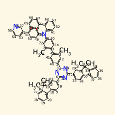 Cc1cc(-c2nc(-c3ccc4c(c3)C(C)(C)c3ccccc3-4)nc(-c3ccc4c(c3)C(C)(C)c3ccccc3-4)n2)ccc1-c1ccc(N(c2ccc(-c3cccnc3)cc2)c2ccccc2-c2ccccc2)cc1C